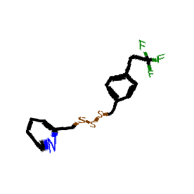 FC(F)(F)Cc1ccc(CSSSCc2ccccn2)cc1